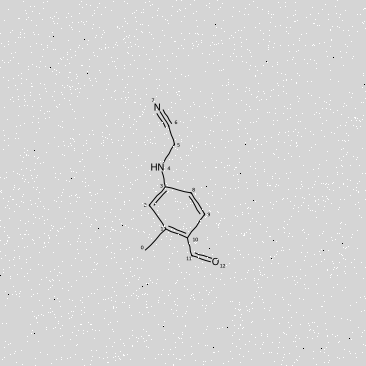 Cc1cc(NCC#N)ccc1C=O